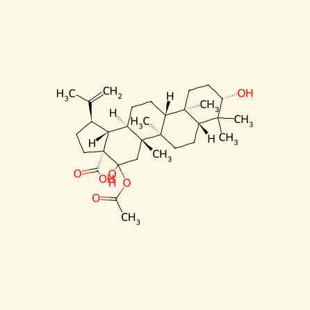 C=C(C)[C@@H]1CC[C@@]2(C(=O)O)[C@H]1[C@H]1CC[C@@H]3[C@@]4(C)CC[C@H](O)C(C)(C)[C@@H]4CC[C@@]3(C)[C@]1(C)CC2(O)OC(C)=O